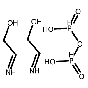 N=CCO.N=CCO.O=[PH](O)O[PH](=O)O